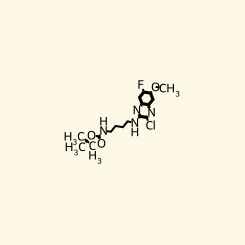 COc1cc2nc(Cl)c(NCCCCNC(=O)OC(C)(C)C)nc2cc1F